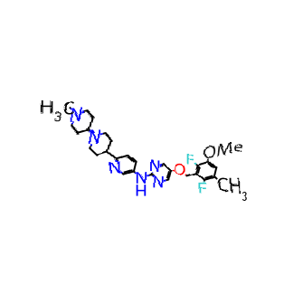 COc1cc(C)c(F)c(COc2cnc(Nc3ccc(C4CCN(C5CCN(C)CC5)CC4)nc3)nc2)c1F